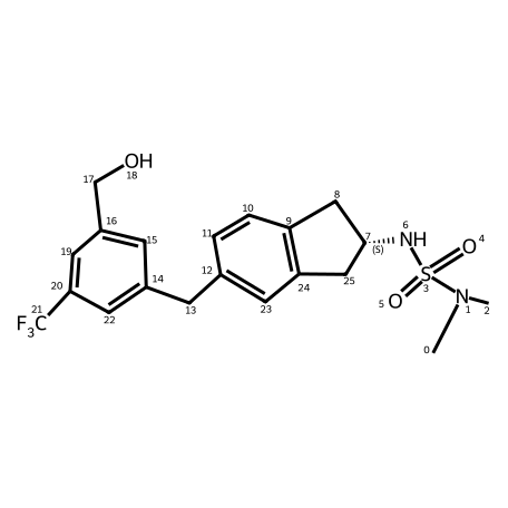 CN(C)S(=O)(=O)N[C@H]1Cc2ccc(Cc3cc(CO)cc(C(F)(F)F)c3)cc2C1